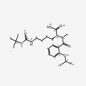 CN(C(=O)c1ccccc1OC(F)F)[C@@H](CCCCNC(=O)OC(C)(C)C)C(=O)O